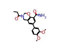 CCC(=O)N1COc2c(cc(-c3ccc(OC)c(OC)c3)cc2C(N)=O)C1